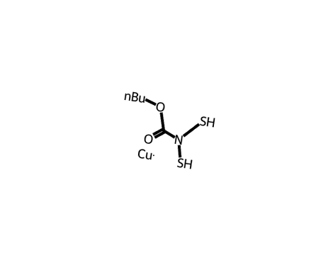 CCCCOC(=O)N(S)S.[Cu]